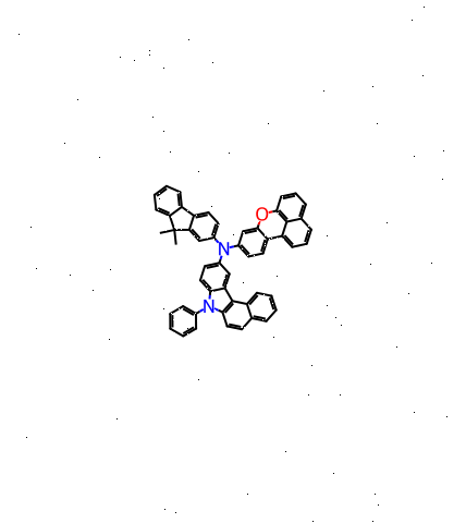 CC1(C)c2ccccc2-c2ccc(N(c3ccc4c(c3)Oc3cccc5cccc-4c35)c3ccc4c(c3)c3c5ccccc5ccc3n4-c3ccccc3)cc21